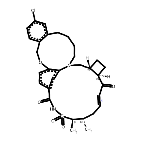 C[C@@H]1[C@@H](C)C/C=C/C(=O)[C@@H]2CC[C@H]2CN2CCCCc3cc(Cl)ccc3COc3ccc(cc32)C(=O)NS1(=O)=O